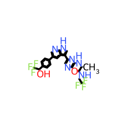 C[C@@H](Nc1cncc(-c2c[nH]c3ncc(-c4ccc(C(O)C(F)(F)F)cc4)cc23)n1)C(=O)NCC(F)(F)F